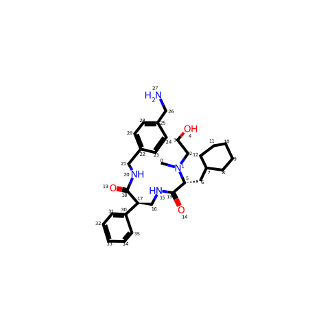 CN(CCO)[C@H](CC1CCCCC1)C(=O)NC[C@H](C(=O)NCc1ccc(CN)cc1)c1ccccc1